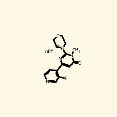 CCC[C@@H]1COCCN1c1nc(-c2ccncc2F)cc(=O)n1C